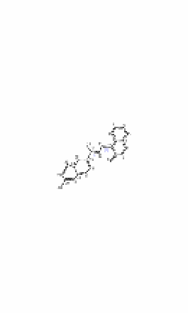 C=c1ccc2ccccc2/c1=C/C=C(\C)C1=CC=C2C=C(I)C=CC2C1